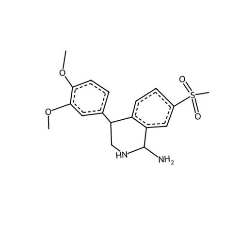 COc1ccc(C2CNC(N)c3cc(S(C)(=O)=O)ccc32)cc1OC